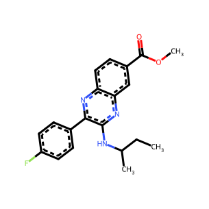 CCC(C)Nc1nc2cc(C(=O)OC)ccc2nc1-c1ccc(F)cc1